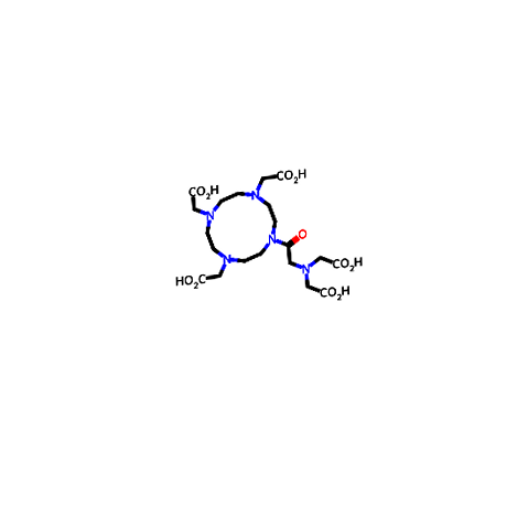 O=C(O)CN1CCN(CC(=O)O)CCN(C(=O)CN(CC(=O)O)CC(=O)O)CCN(CC(=O)O)CC1